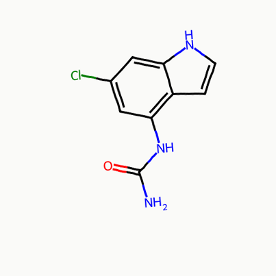 NC(=O)Nc1cc(Cl)cc2[nH]ccc12